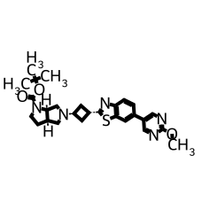 COc1ncc(-c2ccc3nc([C@H]4C[C@@H](N5C[C@H]6CCN(C(=O)OC(C)(C)C)[C@H]6C5)C4)sc3c2)cn1